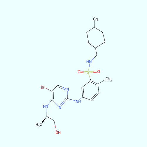 Cc1ccc(Nc2ncc(Br)c(N[C@H](C)CO)n2)cc1S(=O)(=O)NCC1CCC(C#N)CC1